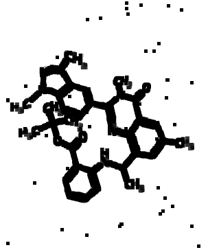 Cc1cc(C(C)Nc2ccccc2C(=O)OC(C)(C)C)c2nc(-c3ccc4c(c3)c(C)nn4C)n(C)c(=O)c2c1